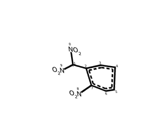 O=[N+]([O-])[C](c1ccccc1[N+](=O)[O-])[N+](=O)[O-]